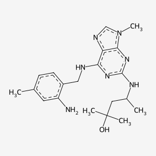 Cc1ccc(CNc2nc(NC(C)CC(C)(C)O)nc3c2ncn3C)c(N)c1